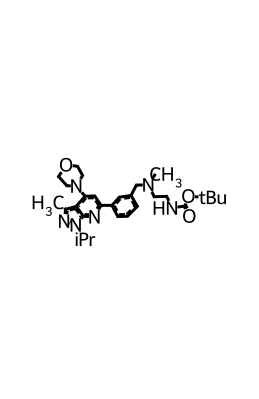 Cc1nn(C(C)C)c2nc(-c3cccc(CN(C)CCNC(=O)OC(C)(C)C)c3)cc(N3CCOCC3)c12